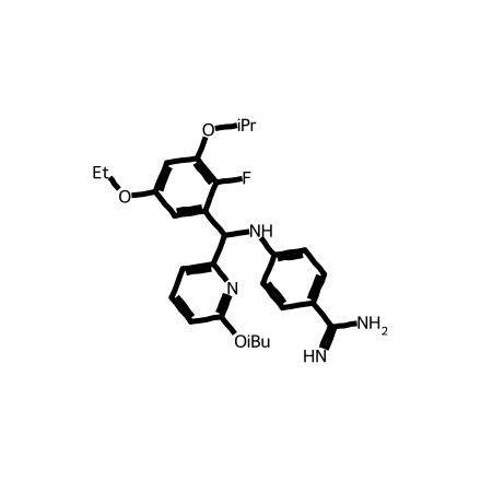 CCOc1cc(OC(C)C)c(F)c(C(Nc2ccc(C(=N)N)cc2)c2cccc(OCC(C)C)n2)c1